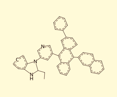 CCC1Nc2ccccc2N1c1cncc(-c2c3ccccc3c(-c3ccc4ccccc4c3)c3ccc(-c4ccccc4)cc23)c1